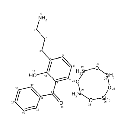 NCCCc1cccc(C(=O)c2ccccc2)c1O.O1[SiH2]O[SiH2]O[SiH2]O[SiH2]1